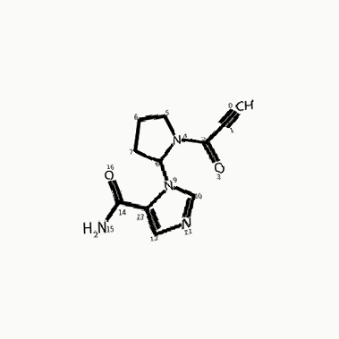 C#CC(=O)N1CCCC1n1cncc1C(N)=O